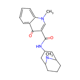 CN1C2CCCC1CC(NC(=O)c1cn(C)c3ccccc3c1=O)C2